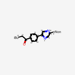 CCCCCCCCCc1cnc(-c2ccc(C(=O)CC(C)CC)cc2)cn1